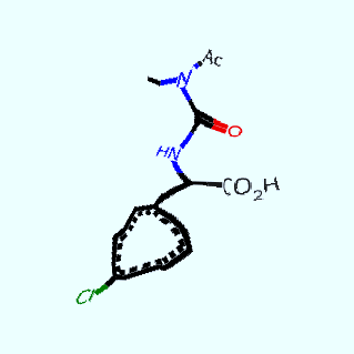 CC(=O)N(C)C(=O)NC(C(=O)O)c1ccc(Cl)cc1